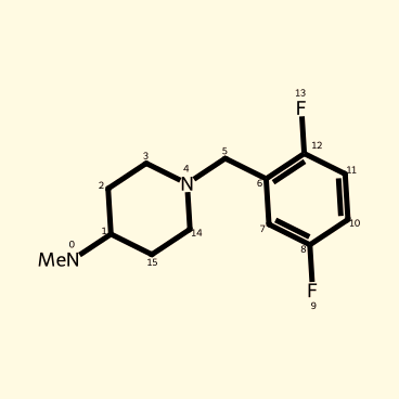 CNC1CCN(Cc2cc(F)ccc2F)CC1